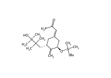 C=C1[C@H](CC(C)(C)[Si](C)(C)O)C/C(=C\C(=O)P)C[C@H]1O[Si](C)(C)C(C)(C)C